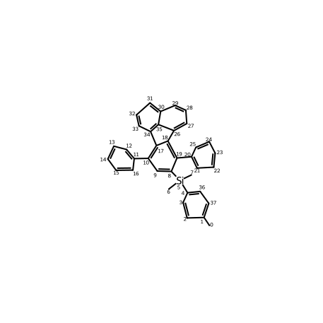 Cc1ccc([Si](C)(C)c2cc(-c3ccccc3)c3c(c2-c2ccccc2)-c2cccc4cccc-3c24)cc1